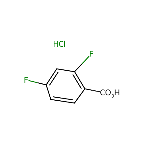 Cl.O=C(O)c1ccc(F)cc1F